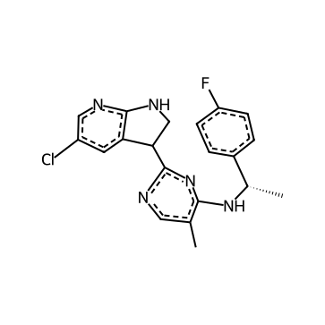 Cc1cnc(C2CNc3ncc(Cl)cc32)nc1N[C@@H](C)c1ccc(F)cc1